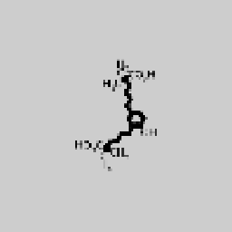 CC(C)(CCCCc1ccc(O)c(CCCCC(C)(C)C(=O)O)c1)C(=O)O